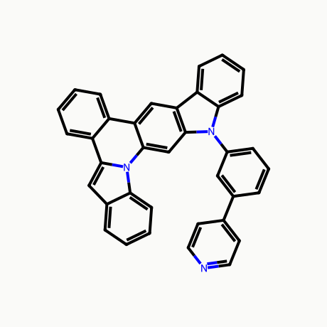 c1cc(-c2ccncc2)cc(-n2c3ccccc3c3cc4c5ccccc5c5cc6ccccc6n5c4cc32)c1